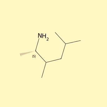 CC(C)CC(C)[C@H](C)N